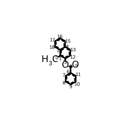 Cc1c(OC(=O)c2ccccc2)ccc2ccccc12